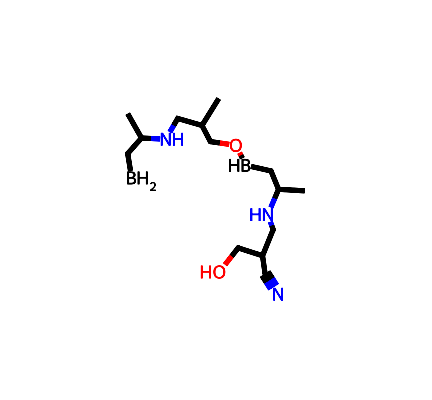 BCC(C)NCC(C)COBCC(C)NCC(C#N)CO